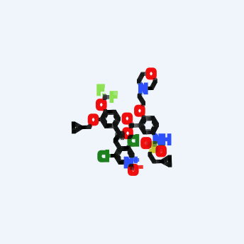 O=C(O[C@@H](Cc1c(Cl)c[n+]([O-])cc1Cl)c1ccc(OC(F)F)c(OCC2CC2)c1)c1cc(NS(=O)(=O)CCC2CC2)ccc1OCCN1CCOCC1